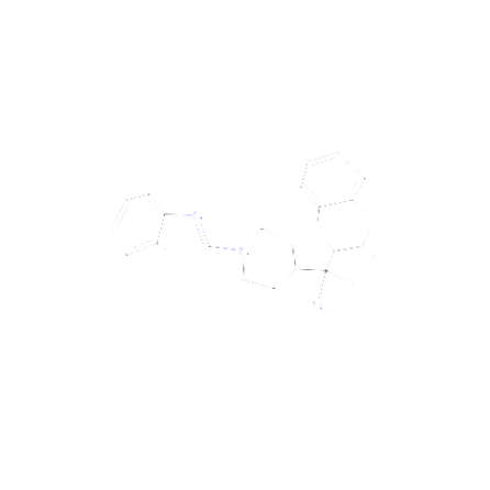 CC1Oc2ccccc2OC1C(C)(N)C1CCN(c2nc3ccccc3s2)CC1